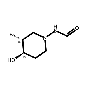 O=CBN1CC[C@@H](O)[C@H](F)C1